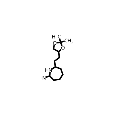 CC1(C)OCC(CCC2CCCCC([N])N2)O1